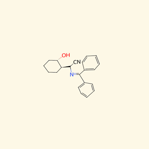 N#CC(N=C(c1ccccc1)c1ccccc1)[C@H]1CCCC[C@@H]1O